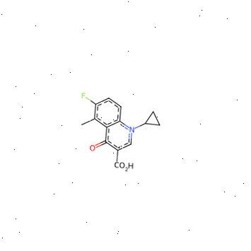 Cc1c(F)ccc2c1c(=O)c(C(=O)O)cn2C1CC1